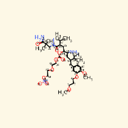 COCCCOc1cc(CC(CC(N)C(CC(C(=O)NCC(C)(C)C(N)=O)C(C)C)OC(=O)OCCOCCO[N+](=O)[O-])C(C)C)ccc1OC